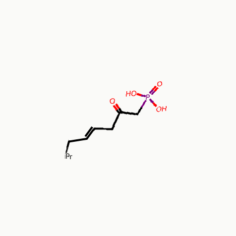 CC(C)CC=CCC(=O)CP(=O)(O)O